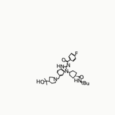 CC(C)(C)NC(=O)[C@H]1CC[C@@H](n2/c(=N/C(=O)c3ccc(F)cc3)[nH]c3ccc(CN4CCC(C(C)(C)O)CC4)cc32)CC1